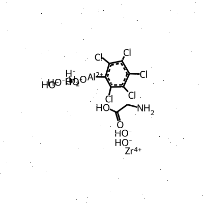 NCC(=O)O.O.[Al+2][c]1c(Cl)c(Cl)c(Cl)c(Cl)c1Cl.[OH-].[OH-].[OH-].[OH-].[OH-].[OH-].[Zr+4]